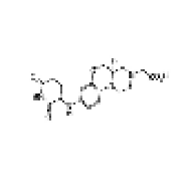 O=C(O)CN1CCN2c3ccc(NC4CCC(=O)NC4=O)cc3OC[C@H]2C1